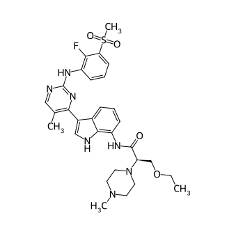 CCOC[C@H](C(=O)Nc1cccc2c(-c3nc(Nc4cccc(S(C)(=O)=O)c4F)ncc3C)c[nH]c12)N1CCN(C)CC1